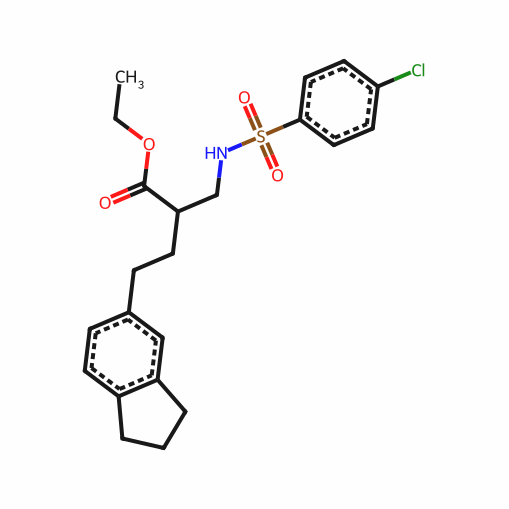 CCOC(=O)C(CCc1ccc2c(c1)CCC2)CNS(=O)(=O)c1ccc(Cl)cc1